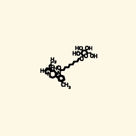 CC[C@H]1C[C@H]2C[C@H]3c4c(c5cc(C)ccc5n4C(=O)CCCCCCCCO[C@H]4O[C@H](CO)[C@@H](O)[C@H](O)[C@H]4O)CCN(C2)C13